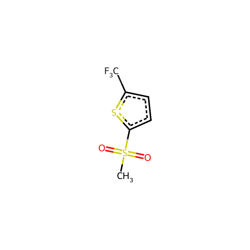 CS(=O)(=O)c1ccc(C(F)(F)F)s1